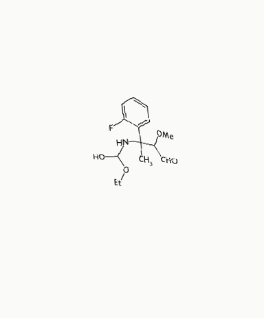 CCOC(O)NC(C)(c1ccccc1F)C(C=O)OC